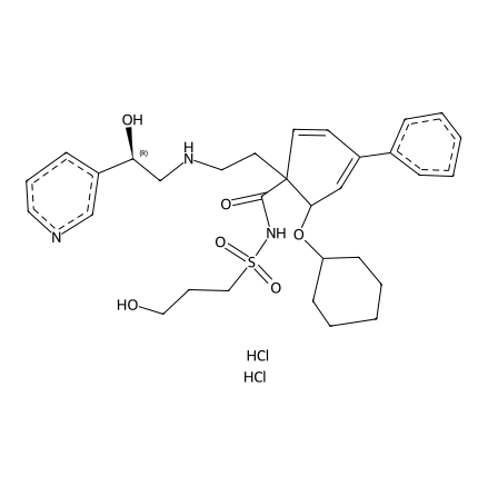 Cl.Cl.O=C(NS(=O)(=O)CCCO)C1(CCNC[C@H](O)c2cccnc2)C=CC(c2ccccc2)=CC1OC1CCCCC1